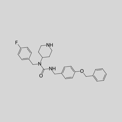 O=C(NCc1ccc(OCc2ccccc2)cc1)N(Cc1ccc(F)cc1)C1CCNCC1